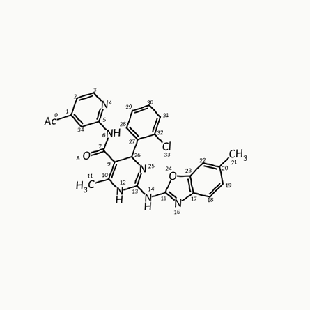 CC(=O)c1ccnc(NC(=O)C2=C(C)NC(Nc3nc4ccc(C)cc4o3)=NC2c2ccccc2Cl)c1